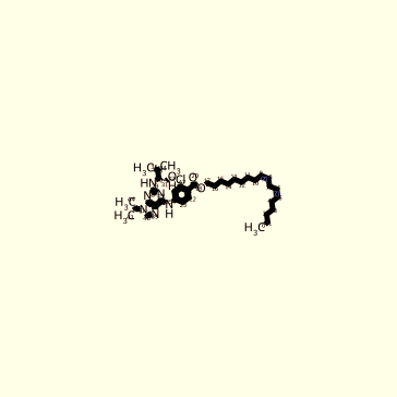 CCCCC/C=C\C/C=C\CCCCCCCCOC(=O)c1ccc(Nc2nc(N[C@@H](CO)C(C)C)nc3c2ncn3C(C)C)cc1Cl